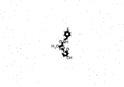 Cc1nc(-n2ccc(O)cc2=O)sc1C(=O)NCCc1ccc(F)cc1